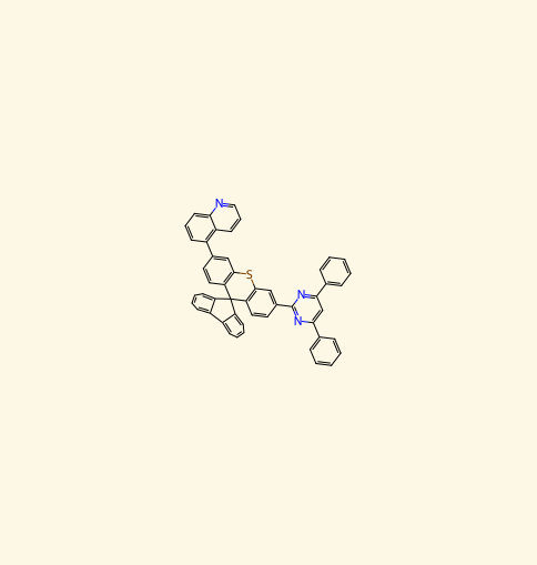 c1ccc(-c2cc(-c3ccccc3)nc(-c3ccc4c(c3)Sc3cc(-c5cccc6ncccc56)ccc3C43c4ccccc4-c4ccccc43)n2)cc1